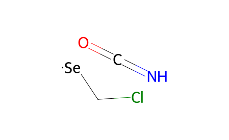 ClC[Se].N=C=O